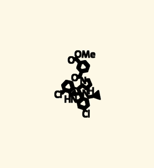 COC(=O)c1cccc(C(=O)N2CC[C@H]3C2[C@H](c2cccc(Cl)c2F)[C@]2(C(=O)Nc4cc(Cl)ccc42)N3CC2CC2)c1